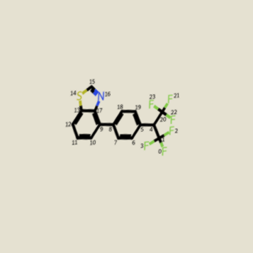 FC(F)(F)C(c1ccc(-c2cccc3scnc23)cc1)C(F)(F)F